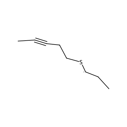 CC#CCCS[CH]CC